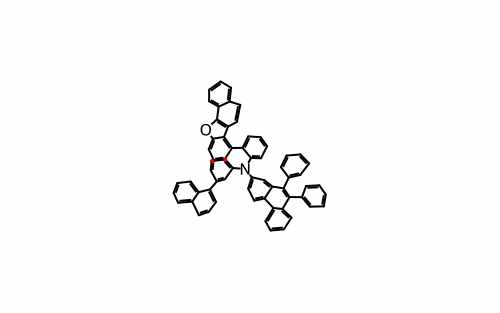 c1ccc(-c2c(-c3ccccc3)c3cc(N(c4cccc(-c5cccc6ccccc56)c4)c4ccccc4-c4cccc5oc6c7ccccc7ccc6c45)ccc3c3ccccc23)cc1